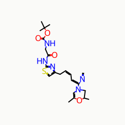 C=N/C(=C\C=C/Cc1csc(NC(=O)CNC(=O)OC(C)(C)C)n1)N1C=C(C)OC(C)C1